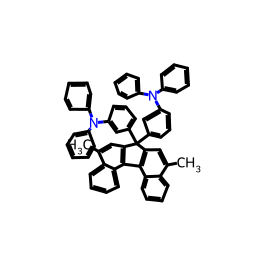 Cc1cc2c(c3ccccc13)-c1c(cc(C)c3ccccc13)C2(c1cccc(N(c2ccccc2)c2ccccc2)c1)c1cccc(N(c2ccccc2)c2ccccc2)c1